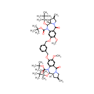 C=C1C[C@H]2C(O[Si](C)(C)C(C)(C)C)N(C(=O)OC(C)(C)C)c3cc(OCc4cccc(COc5cc6c(cc5OC)C(=O)N5CC(=C)C[C@H]5C(O[Si](C)(C)C(C)(C)C)N6C(=O)OC(C)(C)C)c4)c(OC)cc3C(=O)N2C1